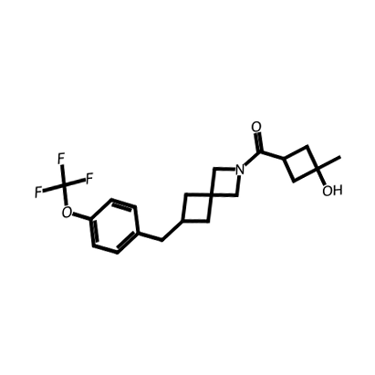 CC1(O)CC(C(=O)N2CC3(CC(Cc4ccc(OC(F)(F)F)cc4)C3)C2)C1